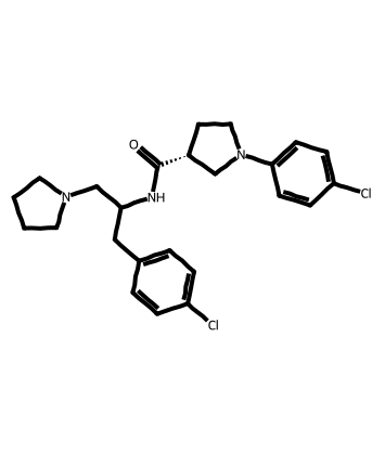 O=C(NC(Cc1ccc(Cl)cc1)CN1CCCC1)[C@@H]1CCN(c2ccc(Cl)cc2)C1